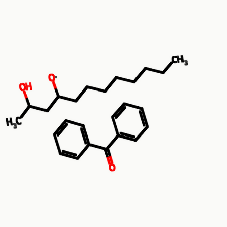 CCCCCCCCC([O])CC(C)O.O=C(c1ccccc1)c1ccccc1